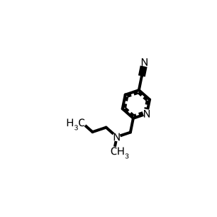 CCCN(C)Cc1ccc(C#N)cn1